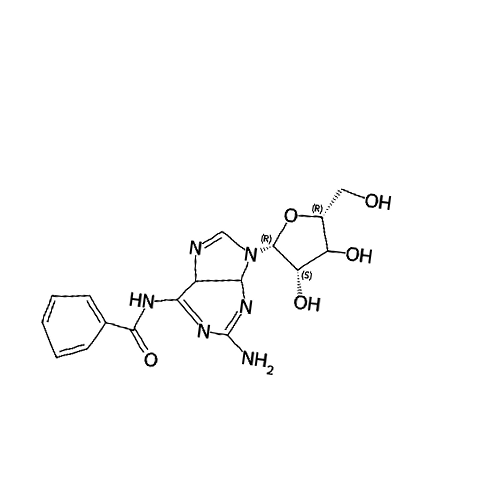 NC1=NC2C(N=CN2[C@@H]2O[C@H](CO)C(O)[C@@H]2O)C(NC(=O)c2ccccc2)=N1